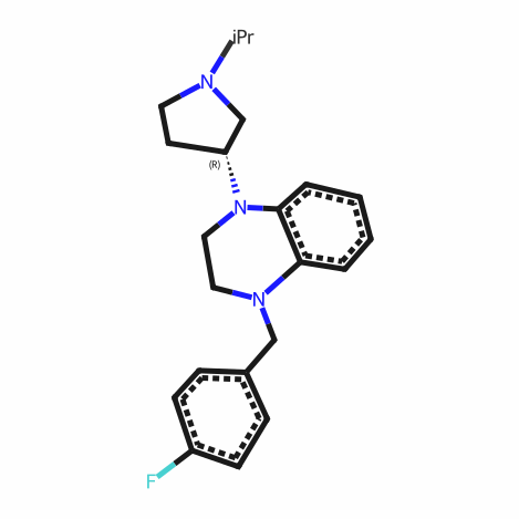 CC(C)N1CC[C@@H](N2CCN(Cc3ccc(F)cc3)c3ccccc32)C1